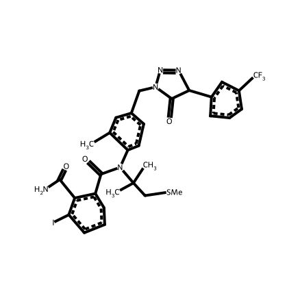 CSCC(C)(C)N(C(=O)c1cccc(I)c1C(N)=O)c1ccc(CN2N=NC(c3cccc(C(F)(F)F)c3)C2=O)cc1C